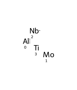 [Al].[Mo].[Nb].[Ti]